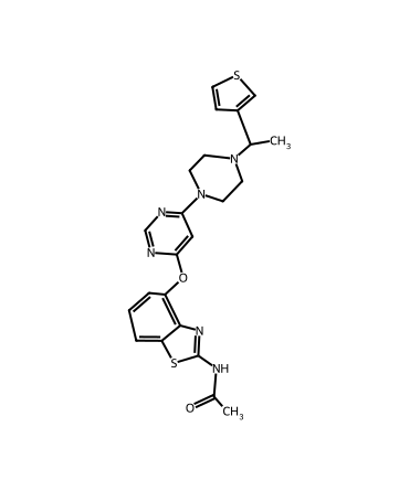 CC(=O)Nc1nc2c(Oc3cc(N4CCN(C(C)c5ccsc5)CC4)ncn3)cccc2s1